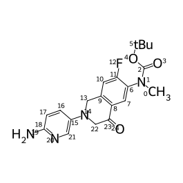 CN(C(=O)OC(C)(C)C)c1cc2c(cc1F)CN(c1ccc(N)nc1)CC2=O